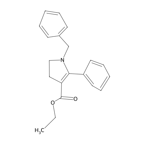 CCOC(=O)C1=C(c2ccccc2)N(Cc2ccccc2)CC1